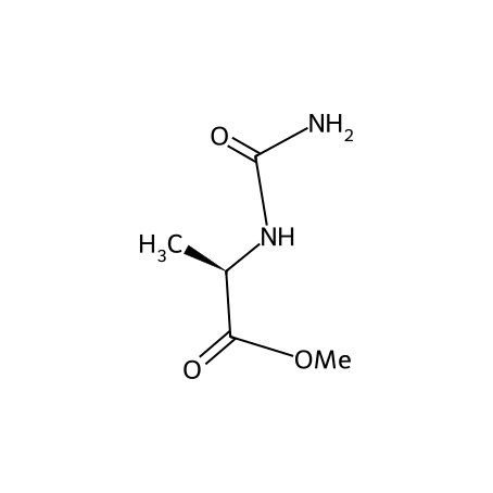 COC(=O)[C@@H](C)NC(N)=O